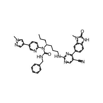 CCC[C@@H](CCCNc1ncc(C#N)c(-c2ccc3[nH]c(=O)n(C)c3c2)n1)N(C(=O)NCc1ccccc1)c1ccc(-c2cnn(C)c2)cn1